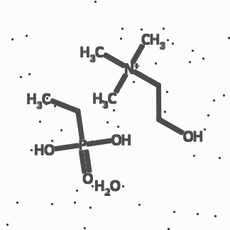 CCP(=O)(O)O.C[N+](C)(C)CCO.O